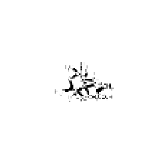 C=CC(=O)O.CC1O[Si](C)(C)[Si](C)(C)[Si](C)(C)[Si]1(C)C